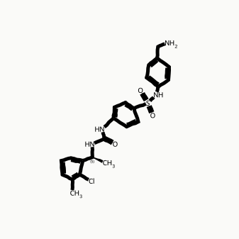 Cc1cccc([C@H](C)NC(=O)Nc2ccc(S(=O)(=O)Nc3ccc(CN)cc3)cc2)c1Cl